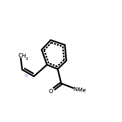 C/C=C\c1ccccc1C(=O)NC